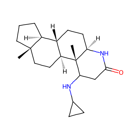 C[C@@]12CCC[C@H]1[C@@H]1CC[C@H]3NC(=O)CC(NC4CC4)[C@]3(C)[C@H]1CC2